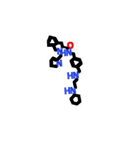 O=C(NCc1ccc(CNCCCNC2CCCCC2)cc1)[C@@H]1Cc2ccccc2CN1Cc1ccccn1